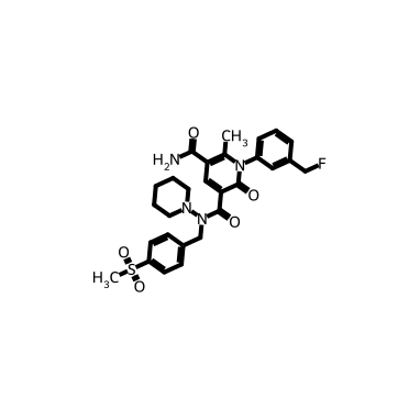 Cc1c(C(N)=O)cc(C(=O)N(Cc2ccc(S(C)(=O)=O)cc2)N2CCCCC2)c(=O)n1-c1cccc(CF)c1